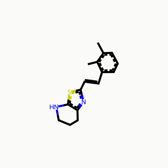 Cc1cccc(C=Cc2nc3c(s2)NCCC3)c1C